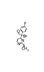 CSc1nccc(C(Br)(C=O)c2ccc(F)cc2)n1